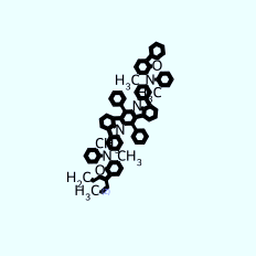 C=Cc1oc2c(N(c3ccc4c(c3)c3cccc5c6c(-c7ccccc7)c7c(c(-c8ccccc8)c6n4c35)c3cccc4c5cc(N(c6ccccc6C)c6c(C)ccc8c6oc6ccccc68)ccc5n7c43)c3ccccc3C)c(C)ccc2c1/C=C\C